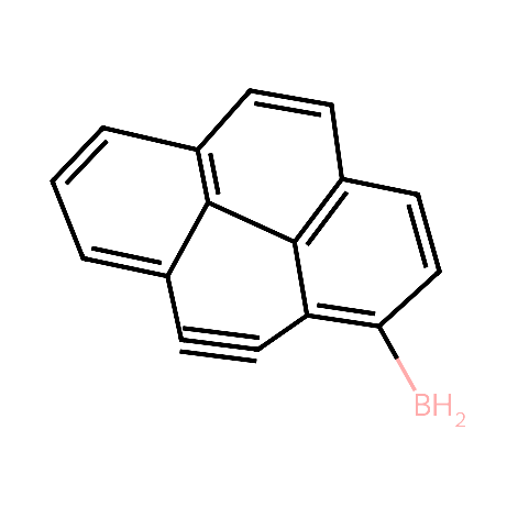 Bc1ccc2ccc3cccc4c#cc1c2c43